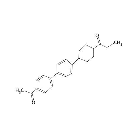 CCC(=O)C1CCC(c2ccc(-c3ccc(C(C)=O)cc3)cc2)CC1